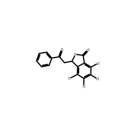 O=C(CC1OC(=O)c2c(Cl)c(Cl)c(Cl)c(Cl)c21)c1ccccc1